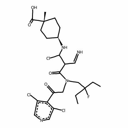 CCC(F)(CC)CN(CC(=O)c1c(Cl)cncc1Cl)C(=O)C(C=N)C(Cl)N[C@H]1CC[C@](C)(C(=O)O)CC1